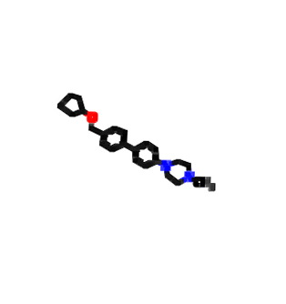 CN1CCN(c2ccc(-c3ccc(COC4CCCC4)cc3)cc2)CC1